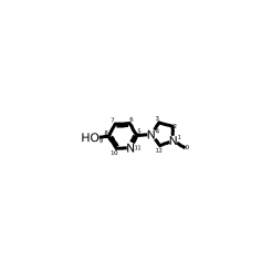 CN1CCN(c2ccc(O)cn2)C1